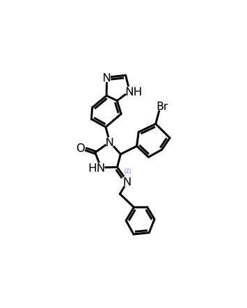 O=C1N/C(=N\Cc2ccccc2)C(c2cccc(Br)c2)N1c1ccc2nc[nH]c2c1